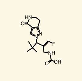 CC(C)(C)C(C(=CF)CNC(=O)O)n1cc2c(n1)CCNC2=O